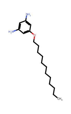 CCCCCCCCCCCCOc1cc(N)cc(N)c1